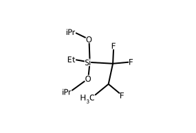 CC[Si](OC(C)C)(OC(C)C)C(F)(F)C(C)F